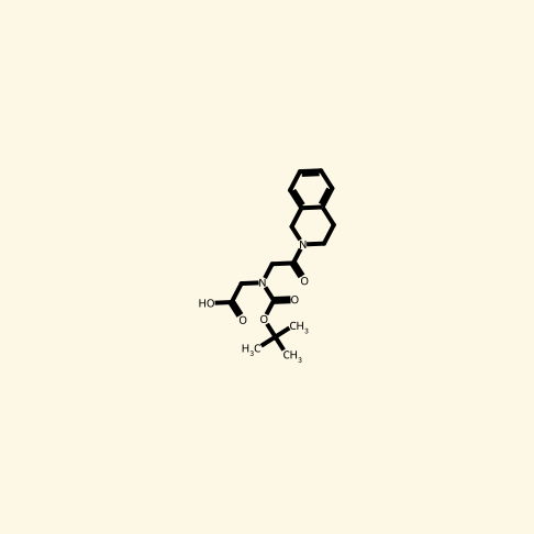 CC(C)(C)OC(=O)N(CC(=O)O)CC(=O)N1CCc2ccccc2C1